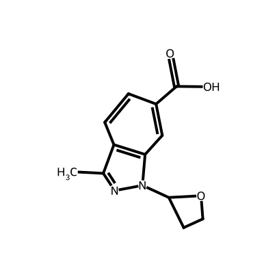 Cc1nn(C2CCO2)c2cc(C(=O)O)ccc12